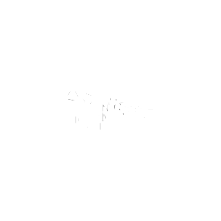 O=C(O)c1cnc(C(=O)NC(Cc2ccc(-c3ccccc3)cc2)C[C@@H](O)C(=O)O)cn1